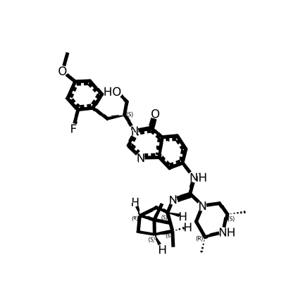 COc1ccc(C[C@@H](CO)n2cnc3cc(NC(=N[C@H]4C[C@H]5C[C@@H]([C@@H]4C)C5(C)C)N4C[C@@H](C)N[C@@H](C)C4)ccc3c2=O)c(F)c1